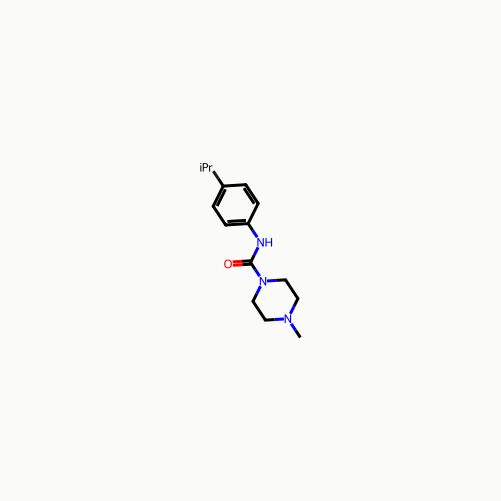 CC(C)c1ccc(NC(=O)N2CCN(C)CC2)cc1